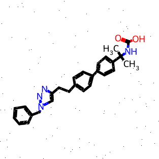 CC(C)(NC(=O)O)c1ccc(-c2ccc(CCc3cn(Cc4ccccc4)nn3)cc2)cc1